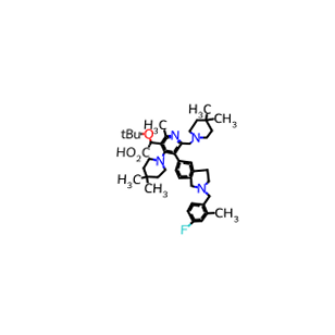 Cc1cc(F)ccc1CN1CCc2cc(-c3c(CN4CCC(C)(C)CC4)nc(C)c(C(OC(C)(C)C)C(=O)O)c3N3CCC(C)(C)CC3)ccc2C1